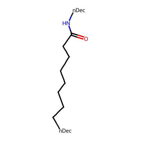 CCCCCCCCCCCCCCCCCC(=O)NCCCCCCCCCC